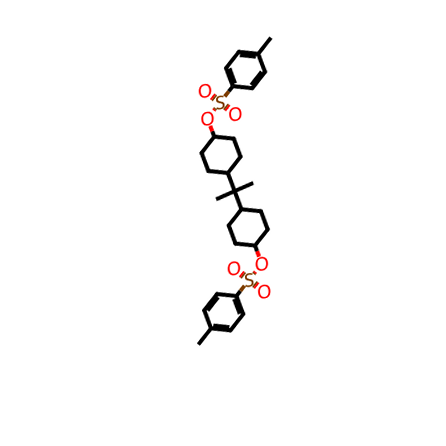 Cc1ccc(S(=O)(=O)OC2CCC(C(C)(C)C3CCC(OS(=O)(=O)c4ccc(C)cc4)CC3)CC2)cc1